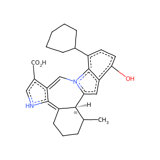 CC1CCCC2=c3[nH]cc(C(=O)O)c3=Cn3c(cc4c(O)ccc(C5CCCCC5)c43)[C@H]21